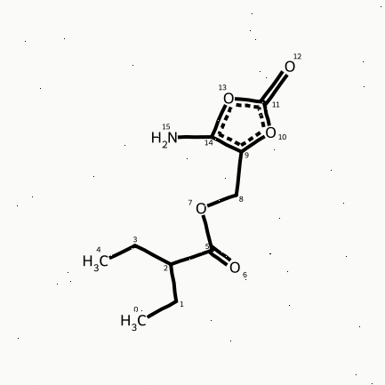 CCC(CC)C(=O)OCc1oc(=O)oc1N